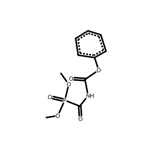 COP(=O)(OC)C(=O)NC(=O)Oc1ccccc1